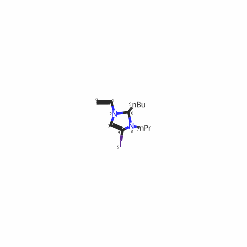 C=CN1C=C(I)N(CCC)C1CCCC